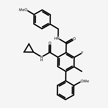 COc1ccc(CNC(=O)c2c(C(=O)NC3CC3)cc(-c3ccccc3OC)c(C)c2F)cc1